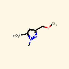 Cn1nc(COC(F)(F)F)cc1C(=O)O